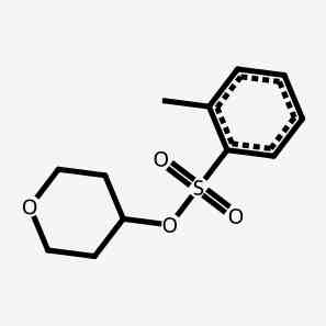 Cc1ccccc1S(=O)(=O)OC1CCOCC1